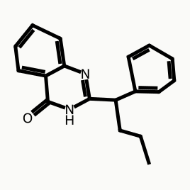 CCCC(c1ccccc1)c1nc2ccccc2c(=O)[nH]1